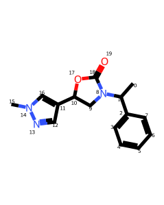 CC(c1ccccc1)N1CC(c2cnn(C)c2)OC1=O